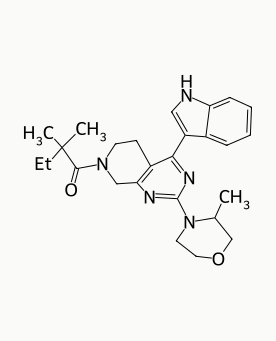 CCC(C)(C)C(=O)N1CCc2c(nc(N3CCOCC3C)nc2-c2c[nH]c3ccccc23)C1